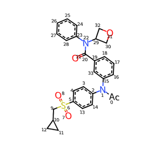 CC(=O)N(c1ccc(S(=O)(=O)CC2CC2)cc1)c1cccc(C(=O)N(c2ccccc2)C2COC2)c1